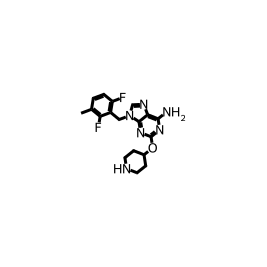 Cc1ccc(F)c(Cn2cnc3c(N)nc(OC4CCNCC4)nc32)c1F